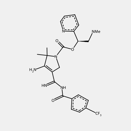 CNC[C@@H](OC(=O)N1CC(C(=N)NC(=O)c2ccc(C(F)(F)F)cc2)=C(N)C1(C)C)c1ccccn1